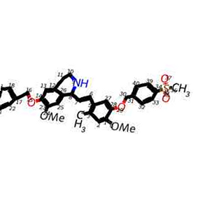 COc1cc(C)c(/C=C/C2NCCc3cc(OCc4ccccc4)c(OC)cc32)cc1OCc1ccc(S(C)(=O)=O)cc1